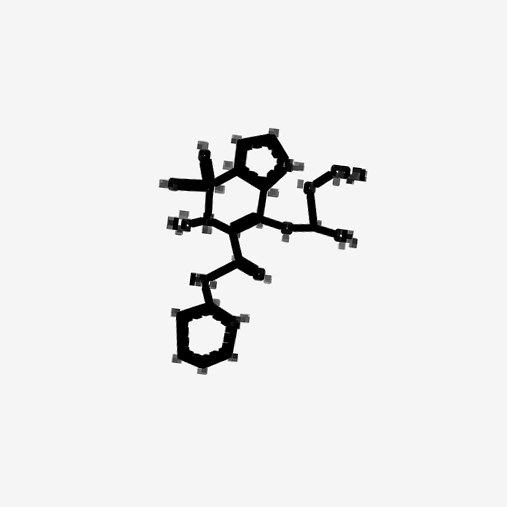 CCOC(=O)OC(C)OC1=C(C(=O)Nc2ccccn2)N(C)S(=O)(=O)c2ccsc21